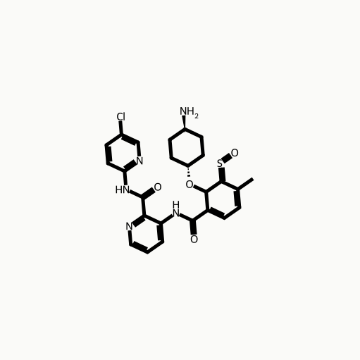 CC1=CC=C(C(=O)Nc2cccnc2C(=O)Nc2ccc(Cl)cn2)C(O[C@H]2CC[C@H](N)CC2)C1=S=O